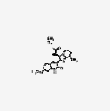 COCCC(=O)Nc1c(-c2cc3ccc(OC)cc3[nH]c2=O)nc2c(C)cccn12